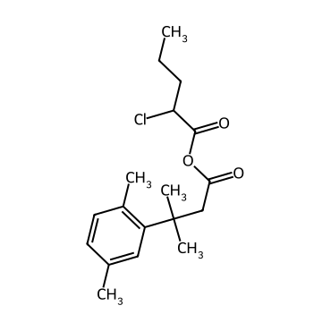 CCCC(Cl)C(=O)OC(=O)CC(C)(C)c1cc(C)ccc1C